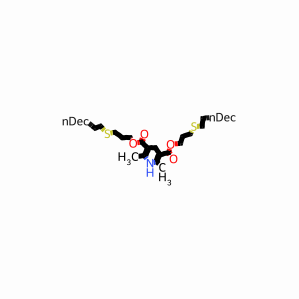 CCCCCCCCCCCCSCCCOC(=O)C1=C(C)NC(C)=C(C(=O)OCCCSCCCCCCCCCCCC)C1